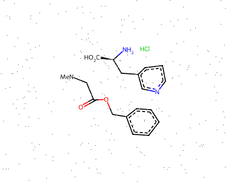 CNCC(=O)OCc1ccccc1.Cl.N[C@@H](Cc1cccnc1)C(=O)O